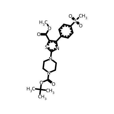 COC(=O)c1sc(N2CCN(C(=O)OC(C)(C)C)CC2)nc1-c1ccc(S(C)(=O)=O)cc1